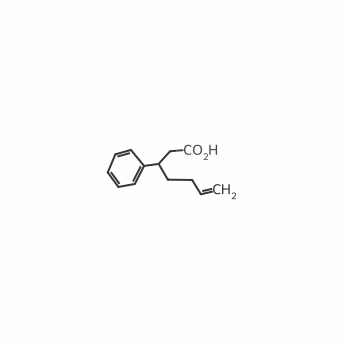 C=CCCC(CC(=O)O)c1ccccc1